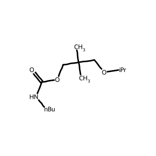 CCCCNC(=O)OCC(C)(C)COC(C)C